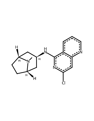 CN1[C@@H]2CC[C@H]1C[C@H](Nc1nc(Cl)cc3ncccc13)C2